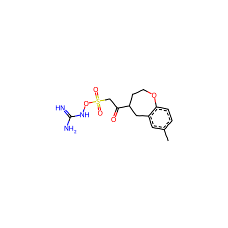 Cc1ccc2c(c1)CC(C(=O)CS(=O)(=O)ONC(=N)N)CCO2